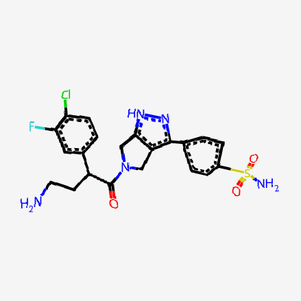 NCCC(C(=O)N1Cc2[nH]nc(-c3ccc(S(N)(=O)=O)cc3)c2C1)c1ccc(Cl)c(F)c1